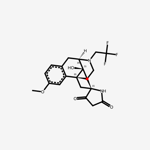 COc1ccc2c(c1)[C@]13CCN(CC(F)(F)F)[C@H](C2)[C@]1(O)CC[C@@]1(C3)NC(=O)CC1=O